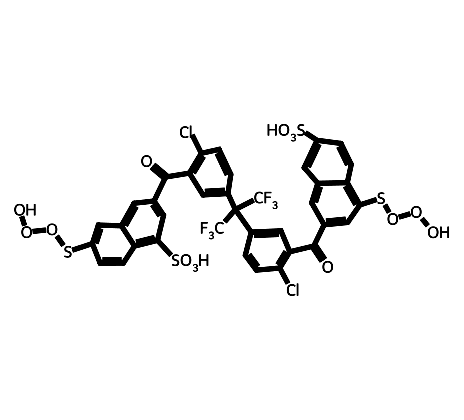 O=C(c1cc(SOOO)c2ccc(S(=O)(=O)O)cc2c1)c1cc(C(c2ccc(Cl)c(C(=O)c3cc(S(=O)(=O)O)c4ccc(SOOO)cc4c3)c2)(C(F)(F)F)C(F)(F)F)ccc1Cl